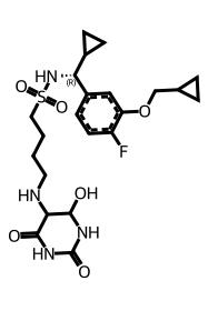 O=C1NC(=O)C(NCCCCS(=O)(=O)N[C@@H](c2ccc(F)c(OCC3CC3)c2)C2CC2)C(O)N1